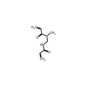 C=CC(=O)NCN(C)C(=O)C=C